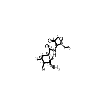 CC[C@@H]1OCC(=O)C1NC(=O)[CH]CC(C)C(C)C(N)=O